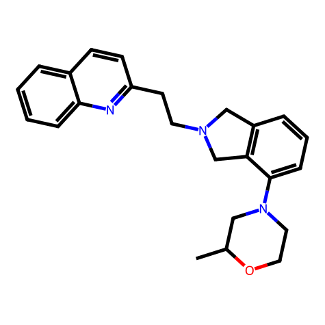 CC1CN(c2cccc3c2CN(CCc2ccc4ccccc4n2)C3)CCO1